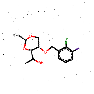 CC(O)[C@H]1O[C@@H](C(C)(C)C)OC[C@H]1OCc1cccc(I)c1Br